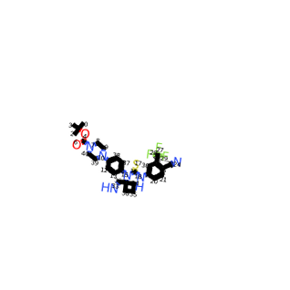 CC(C)(C)OC(=O)N1CCN(c2ccc(N(C(=S)Nc3ccc(C#N)c(C(F)(F)F)c3)C3(C=N)CCC3)cc2)CC1